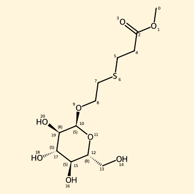 COC(=O)CCSCCO[C@H]1O[C@H](CO)[C@@H](O)[C@H](O)[C@H]1O